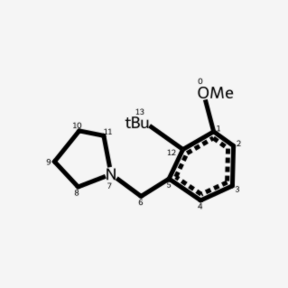 COc1cccc(CN2CCCC2)c1C(C)(C)C